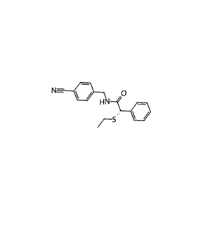 CCS[C@H](C(=O)NCc1ccc(C#N)cc1)c1ccccc1